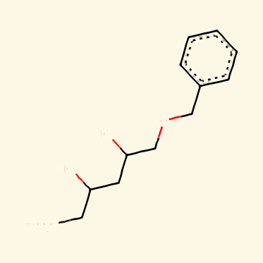 CCOC(=O)CC(O)CC(O)COCc1ccccc1